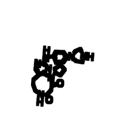 O=C1CC(=O)N(C2CCCC2)c2nc(Nc3ccc(N4CCNCC4)cc3)ncc2CCCN1